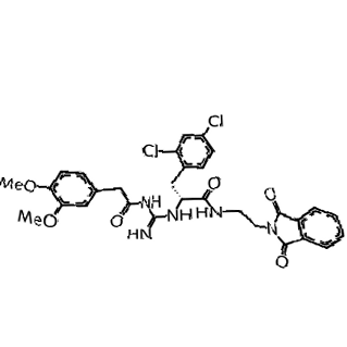 COc1ccc(CC(=O)NC(=N)N[C@H](Cc2ccc(Cl)cc2Cl)C(=O)NCCN2C(=O)c3ccccc3C2=O)cc1OC